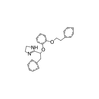 c1ccc(CCOc2ccccc2OC(Cc2ccccc2)C2=NCCN2)cc1